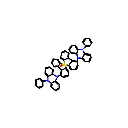 O=S12(c3ccccc3-c3c(N4c5ccccc5N(c5ccccc5)c5ccccc54)cccc31)c1ccccc1-c1c(N3c4ccccc4N(c4ccccc4)c4ccccc43)cccc12